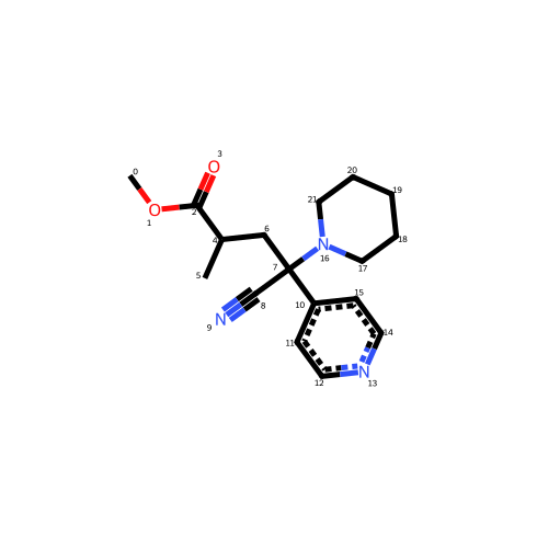 COC(=O)C(C)CC(C#N)(c1ccncc1)N1CCCCC1